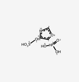 O=S(=O)(O)O.O=[PH](O)O.c1cocn1